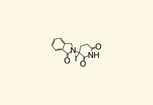 O=C1CCC(I)(N2Cc3ccccc3C2=O)C(=O)N1